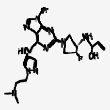 C=CC(O)N[C@H]1CN(c2nc(Nc3cnn(CCN(C)C)c3)c3ncn(C(C)C)c3n2)C[C@@H]1F